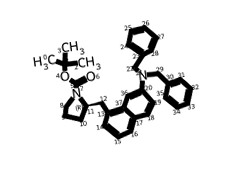 CC(C)(C)OC(=O)N1CCC[C@@H]1Cc1cccc2ccc(N(Cc3ccccc3)Cc3ccccc3)cc12